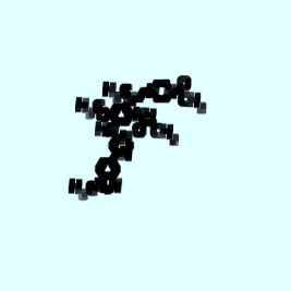 C=CC(=O)Nc1cc(Nc2cc(-c3ccc4c(c3)ncn4C)ncn2)c(OC)cc1N(C)CCN1CCN(C(C)=O)CC1